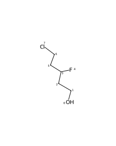 OCCC(F)CCCl